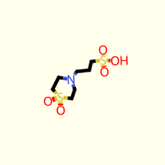 O=S(=O)(O)CCCN1CCS(=O)(=O)CC1